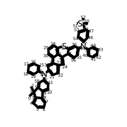 CC1(C)c2ccccc2-c2ccc(N(c3ccccc3)c3ccc4cc5c6c(cccc6c4c3)Sc3cc(N(c4ccccc4)c4ccc([Si](C)(C)C)cc4)ccc3-5)cc21